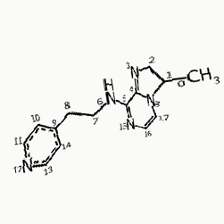 CC1CN=C2C(NCCc3ccncc3)=NC=CN21